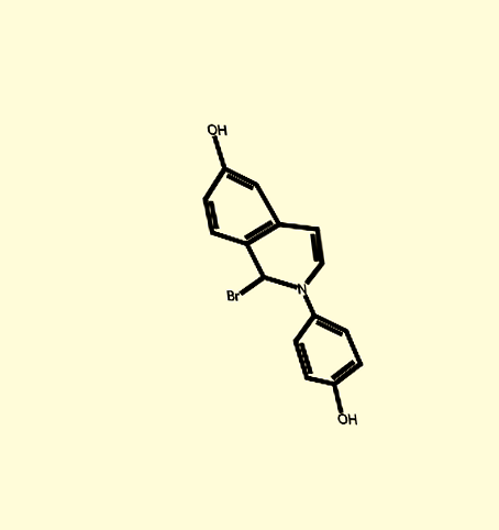 Oc1ccc(N2C=Cc3cc(O)ccc3C2Br)cc1